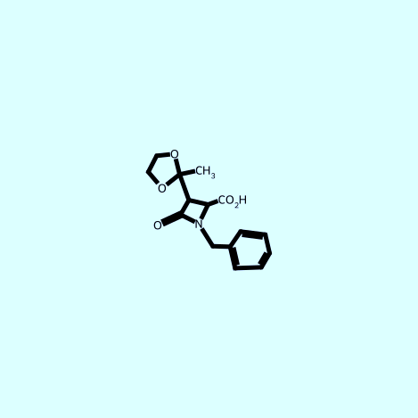 CC1(C2C(=O)N(Cc3ccccc3)C2C(=O)O)OCCO1